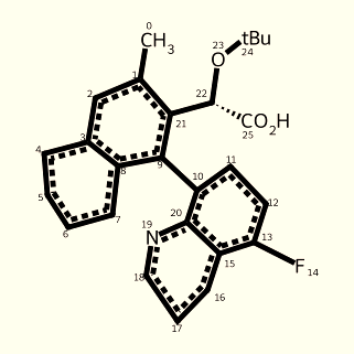 Cc1cc2ccccc2c(-c2ccc(F)c3cccnc23)c1[C@H](OC(C)(C)C)C(=O)O